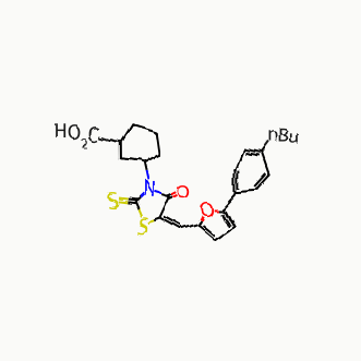 CCCCc1ccc(-c2ccc(C=C3SC(=S)N(C4CCCC(C(=O)O)C4)C3=O)o2)cc1